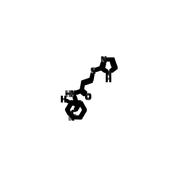 O=C(/C=C/Sc1ncc[nH]1)N[C@H]1CN2CCC1CC2